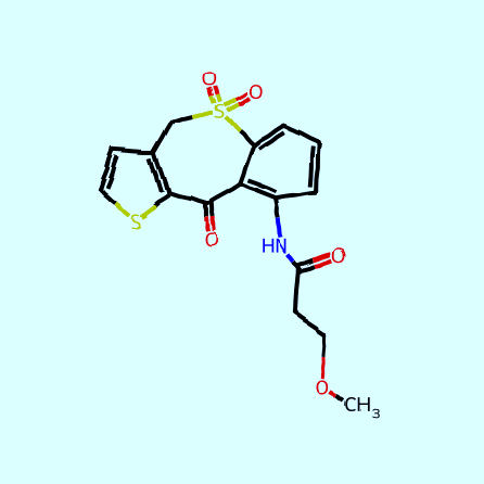 COCCC(=O)Nc1cccc2c1C(=O)c1sccc1CS2(=O)=O